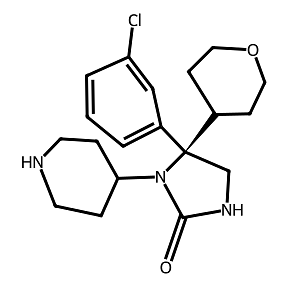 O=C1NC[C@](c2cccc(Cl)c2)(C2CCOCC2)N1C1CCNCC1